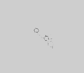 Cc1ccc(CNC(=O)c2cn3c(c(O)c2=O)C(=O)N2CC4CC4CC3C2)c(F)c1